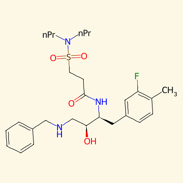 CCCN(CCC)S(=O)(=O)CCC(=O)N[C@@H](Cc1ccc(C)c(F)c1)[C@@H](O)CNCc1ccccc1